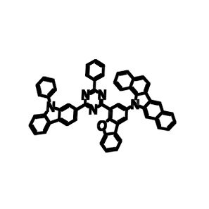 c1ccc(-c2nc(-c3ccc4c5ccccc5n(-c5ccccc5)c4c3)nc(-c3cc(-n4c5cc6ccccc6cc5c5ccc6ccccc6c54)cc4c3oc3ccccc34)n2)cc1